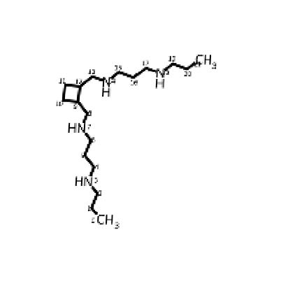 CCCNCCCNCC1CCC1CNCCCNCCC